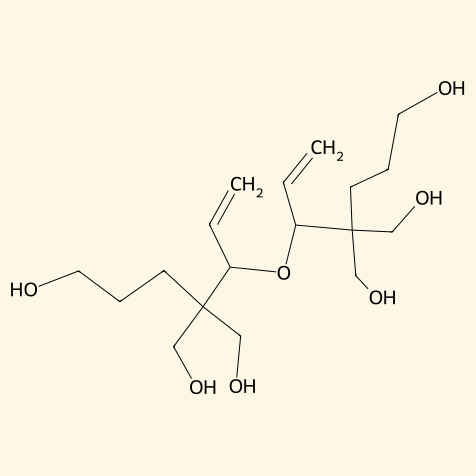 C=CC(OC(C=C)C(CO)(CO)CCCO)C(CO)(CO)CCCO